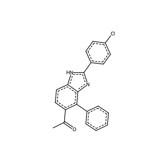 CC(=O)c1ccc2[nH]c(-c3ccc(Cl)cc3)nc2c1-c1ccccc1